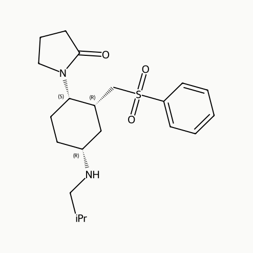 CC(C)CN[C@@H]1CC[C@H](N2CCCC2=O)[C@H](CS(=O)(=O)c2ccccc2)C1